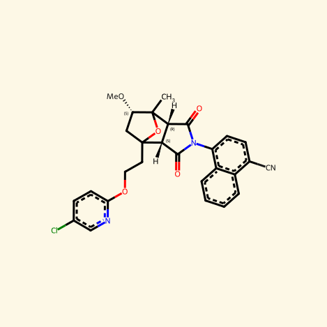 CO[C@H]1CC2(CCOc3ccc(Cl)cn3)OC1(C)[C@@H]1C(=O)N(c3ccc(C#N)c4ccccc34)C(=O)[C@@H]12